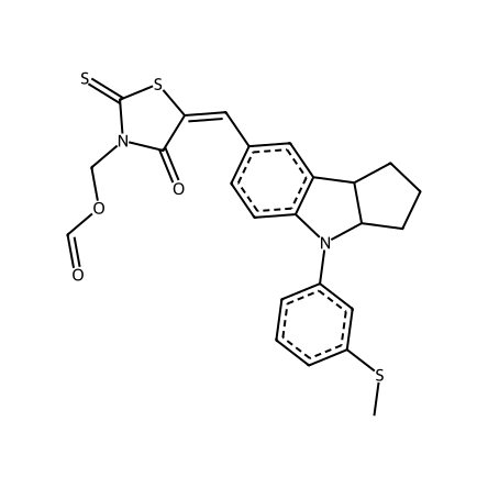 CSc1cccc(N2c3ccc(/C=C4/SC(=S)N(COC=O)C4=O)cc3C3CCCC32)c1